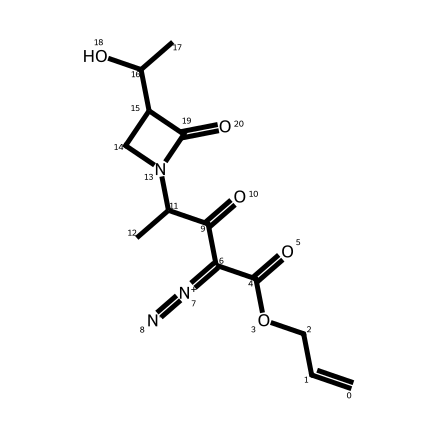 C=CCOC(=O)C(=[N+]=[N-])C(=O)C(C)N1CC(C(C)O)C1=O